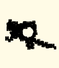 C=C[C@@H]1C[C@]1(NC(=O)[C@@H]1C[C@@H]2CN1C(=O)[C@H](C(C)(C)C)NC(=O)O[C@@H]1CCC[C@H]1CCC=CCc1c(nc3ccccc3c1OCCCOCCOC)O2)C(=O)NS(=O)(=O)C1(C)CC1